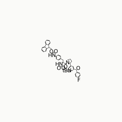 CC(C)(C)OC(=O)NC(Cc1ccc(NC(=O)OCC2c3ccccc3-c3ccccc32)cc1)C(=O)N1CCCC1c1cncc(C(=O)c2ccc(F)cc2)c1